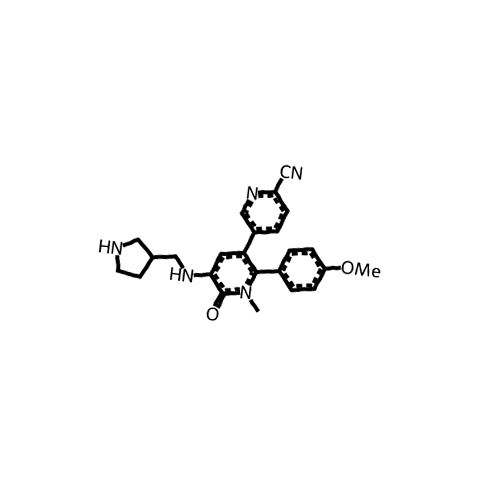 COc1ccc(-c2c(-c3ccc(C#N)nc3)cc(NCC3CCNC3)c(=O)n2C)cc1